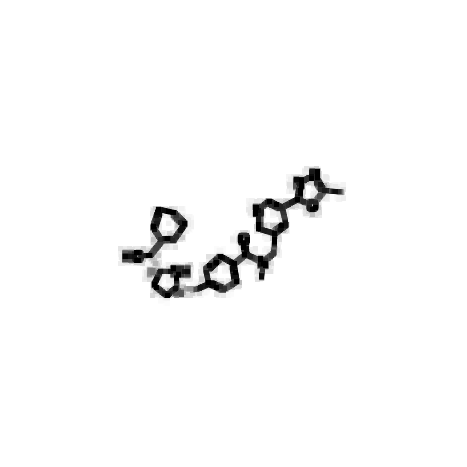 Cc1nnc(-c2cncc(CN(C)C(=O)c3ccc(C[C@@H]4CC[C@H](C(O)c5ccccc5)N4)cc3)c2)o1